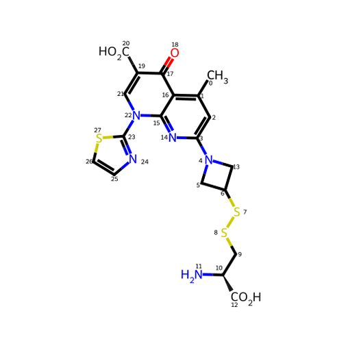 Cc1cc(N2CC(SSC[C@H](N)C(=O)O)C2)nc2c1c(=O)c(C(=O)O)cn2-c1nccs1